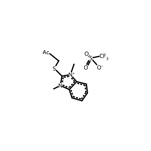 CC(=O)CSc1n(C)c2ccccc2[n+]1C.O=S(=O)([O-])C(F)(F)F